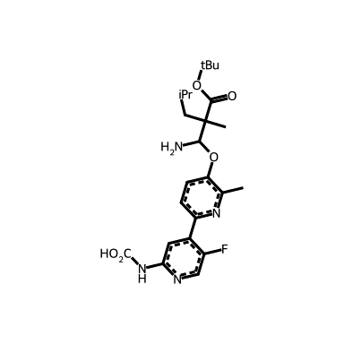 Cc1nc(-c2cc(NC(=O)O)ncc2F)ccc1OC(N)C(C)(CC(C)C)C(=O)OC(C)(C)C